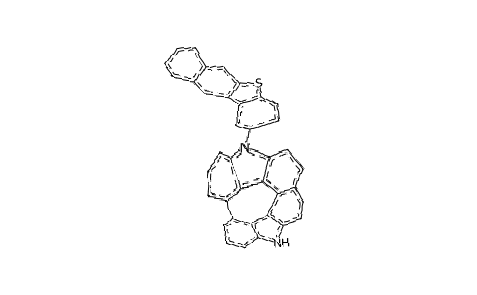 c1ccc2cc3c(cc2c1)sc1ccc(-n2c4cccc5c4c4c6c(ccc7[nH]c8cccc-5c8c76)ccc42)cc13